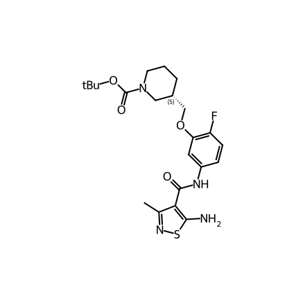 Cc1nsc(N)c1C(=O)Nc1ccc(F)c(OC[C@H]2CCCN(C(=O)OC(C)(C)C)C2)c1